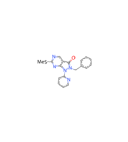 CSc1ncc2c(=O)n(Cc3ccccc3)n(-c3ccccn3)c2n1